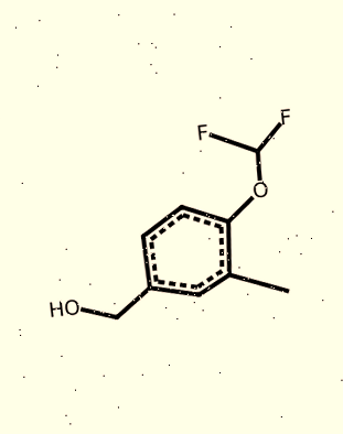 Cc1cc(CO)ccc1OC(F)F